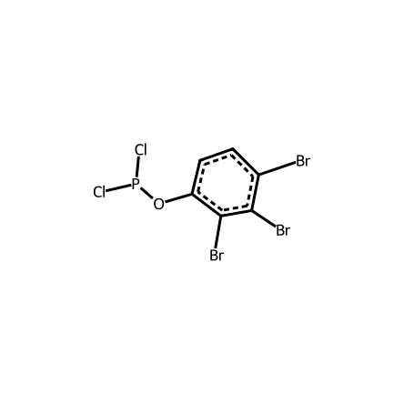 ClP(Cl)Oc1ccc(Br)c(Br)c1Br